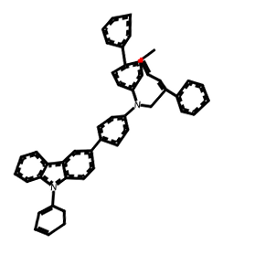 C/C=C\C=C(/CN(c1ccc(-c2ccccc2)cc1)c1ccc(-c2ccc3c(c2)c2ccccc2n3C2=CC=CCC2)cc1)c1ccccc1